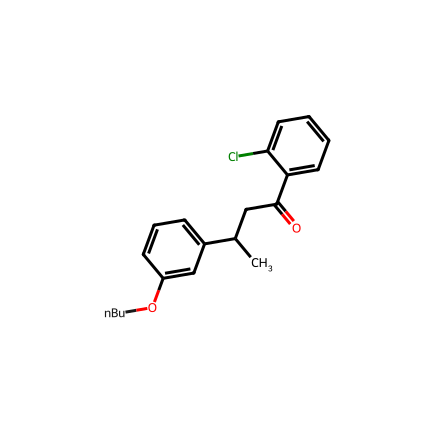 CCCCOc1cccc(C(C)CC(=O)c2ccccc2Cl)c1